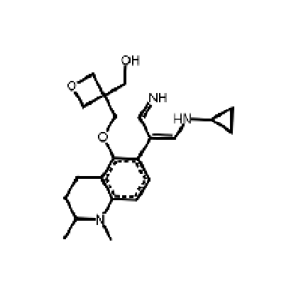 CC1CCc2c(ccc(/C(C=N)=C/NC3CC3)c2OCC2(CO)COC2)N1C